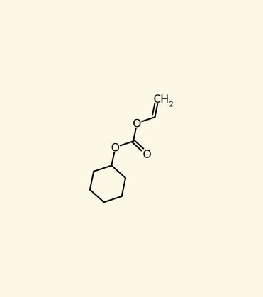 C=COC(=O)OC1CCCCC1